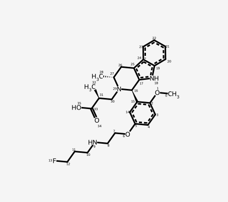 COc1ccc(OCCNCCCF)cc1[C@@H]1c2[nH]c3ccccc3c2C[C@@H](C)N1C[C@H](C)C(=O)O